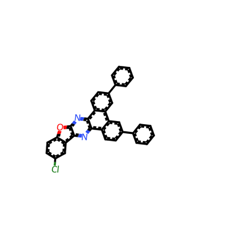 Clc1ccc2oc3nc4c5ccc(-c6ccccc6)cc5c5cc(-c6ccccc6)ccc5c4nc3c2c1